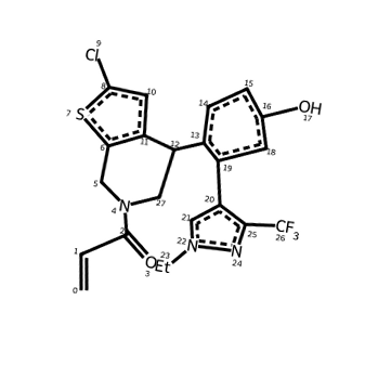 C=CC(=O)N1Cc2sc(Cl)cc2C(c2ccc(O)cc2-c2cn(CC)nc2C(F)(F)F)C1